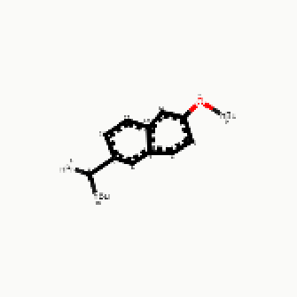 CCCCOc1ccc2cc(C(CCC)CCCC)ccc2c1